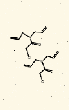 C=CCN(CC=C)C(=O)CCl.C=CCN(CC=C)C(=O)CCl